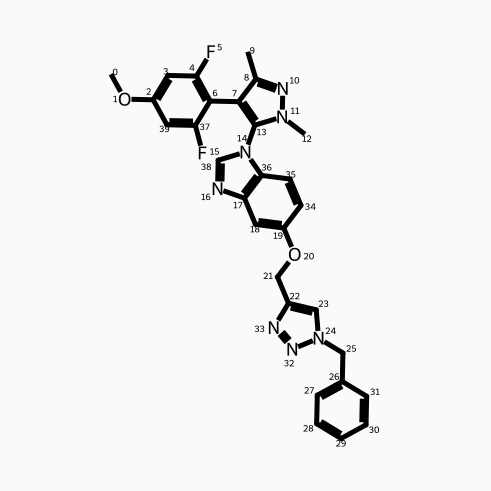 COc1cc(F)c(-c2c(C)nn(C)c2-n2cnc3cc(OCc4cn(Cc5ccccc5)nn4)ccc32)c(F)c1